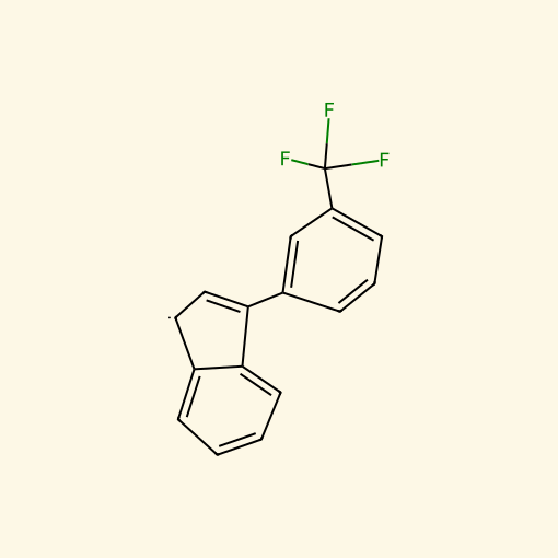 FC(F)(F)c1cccc(C2=C[CH]c3ccccc32)c1